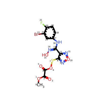 COC(=O)C(=O)OSc1nonc1C(=NO)Nc1ccc(F)c(Br)c1